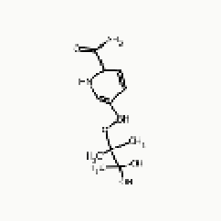 CC(C)(O)C(C)(C)OBC1=CNC(C(N)=O)C=C1